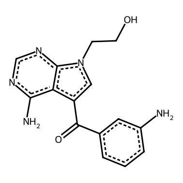 Nc1cccc(C(=O)c2cn(CCO)c3ncnc(N)c23)c1